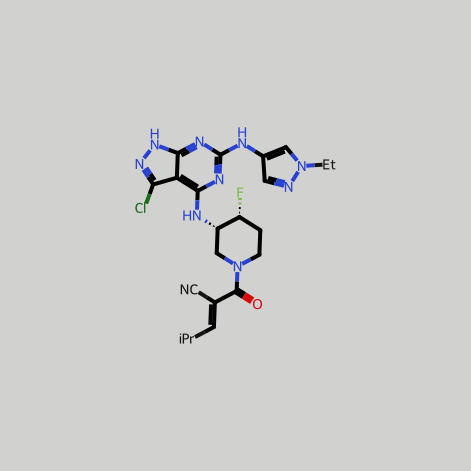 CCn1cc(Nc2nc(N[C@H]3CN(C(=O)/C(C#N)=C/C(C)C)CC[C@H]3F)c3c(Cl)n[nH]c3n2)cn1